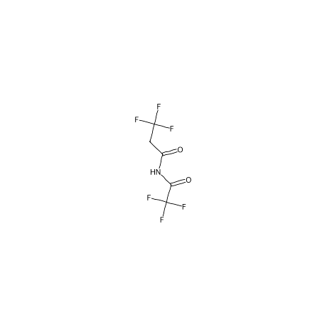 O=C(CC(F)(F)F)NC(=O)C(F)(F)F